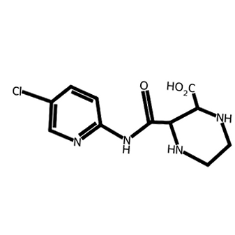 O=C(O)C1NCCNC1C(=O)Nc1ccc(Cl)cn1